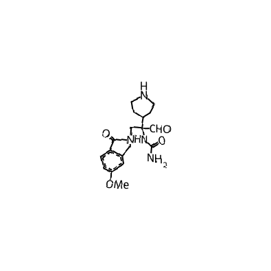 COc1ccc2c(c1)CN(CC(C=O)(NC(N)=O)C1CCNCC1)C2=O